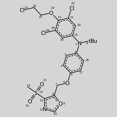 CC(C)(C)N(c1ccc(OCc2ocnc2S(C)(=O)=O)cc1)c1cc(Cl)c(OCCCl)c(Cl)c1